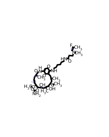 COC1C[C@H](C)CC2=C(NCCCCCCNC(=O)CCN(C)/C=C(\C)F)C(=O)C=C(NC(=O)/C(C)=C/C=C\C(OC)[C@@H](OC(N)=O)/C(C)=C/[C@H](C)C1O)C2=O